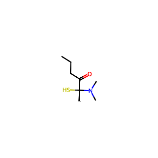 [CH2]C(S)(C(=O)CCC)N(C)C